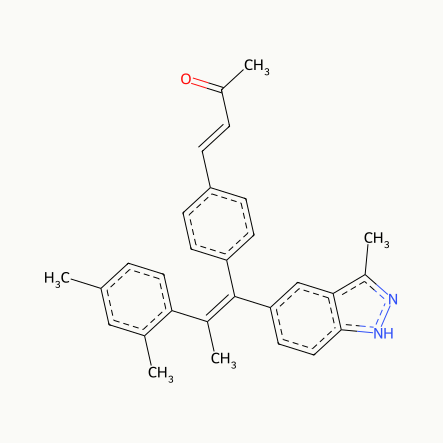 CC(=O)/C=C/c1ccc(/C(=C(/C)c2ccc(C)cc2C)c2ccc3[nH]nc(C)c3c2)cc1